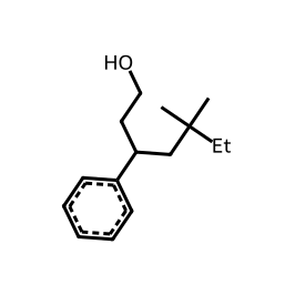 CCC(C)(C)CC(CCO)c1ccccc1